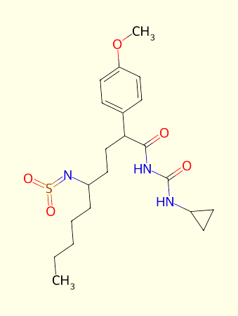 CCCCCC(CCC(C(=O)NC(=O)NC1CC1)c1ccc(OC)cc1)N=S(=O)=O